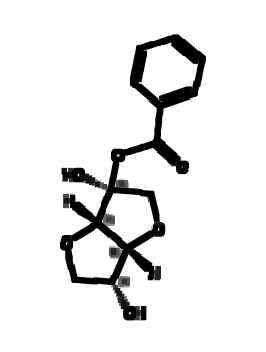 O=C(O[C@@]1(O)CO[C@@H]2[C@H](O)CO[C@@H]21)c1ccccc1